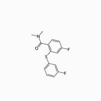 CN(C)C(=O)c1ccc(F)cc1Sc1cccc(F)c1